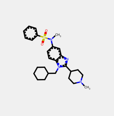 CN1CCC(c2nc3cc(N(C)S(=O)(=O)c4ccccc4)ccc3n2CC2CCCCC2)CC1